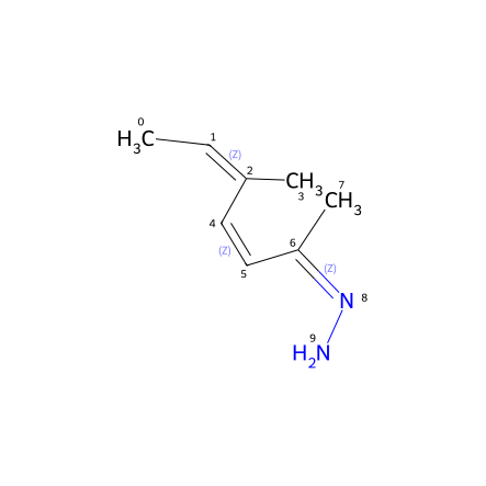 C\C=C(C)/C=C\C(C)=N/N